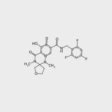 CN1C(=O)c2c(O)c(=O)c(C(=O)NCc3c(F)cc(F)cc3F)cn2N(C)C12CCOC2